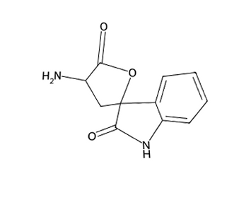 NC1CC2(OC1=O)C(=O)Nc1ccccc12